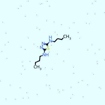 CCCCNc1nnc(NCCCC)s1